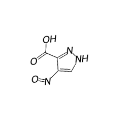 O=Nc1c[nH]nc1C(=O)O